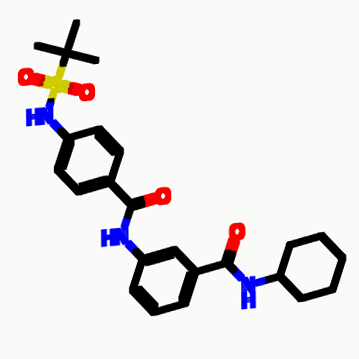 CC(C)(C)S(=O)(=O)Nc1ccc(C(=O)Nc2cccc(C(=O)NC3CCCCC3)c2)cc1